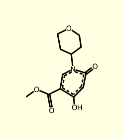 COC(=O)c1cn(C2CCOCC2)c(=O)cc1O